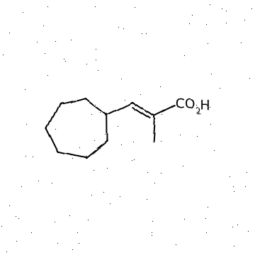 CC(=CC1CCCCCC1)C(=O)O